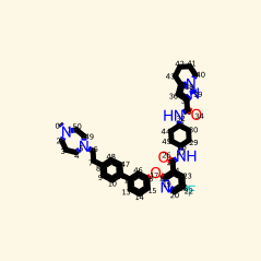 CN1CCCN(CCc2ccc(-c3cccc(Oc4ncc(F)cc4C(=O)NC4CCC(NC(=O)c5cc6n(n5)CCCC6)CC4)c3)cc2)CC1